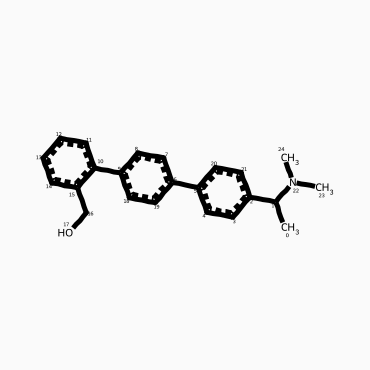 CC(c1ccc(-c2ccc(-c3ccccc3CO)cc2)cc1)N(C)C